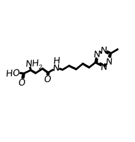 Cc1nnc(CCCCCNC(=O)CCC(N)C(=O)O)nn1